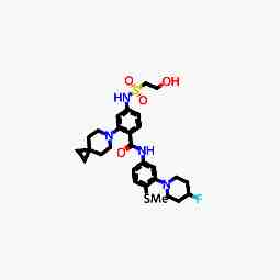 CSc1ccc(NC(=O)c2ccc(NS(=O)(=O)CCO)cc2N2CCC3(CC2)CC3)cc1N1CCC(F)CC1